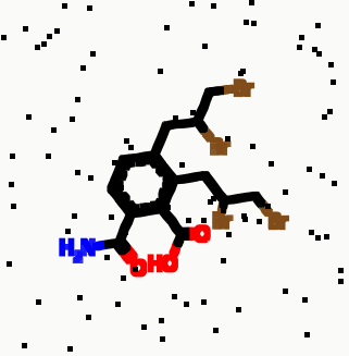 NC(=O)c1ccc(CC(Br)CBr)c(CC(Br)CBr)c1C(=O)O